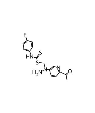 CC(=O)c1ccc(N(N)CSC(=S)Nc2ccc(F)cc2)cn1